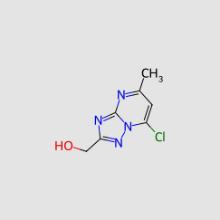 Cc1cc(Cl)n2nc(CO)nc2n1